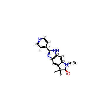 CCCCN1C(=O)C(C)(C)c2cc3nc(-c4ccncc4)[nH]c3cc21